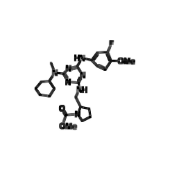 COC(=O)N1CCCC1CNc1nc(Nc2ccc(OC)c(F)c2)nc(N(C)C2CCCCC2)n1